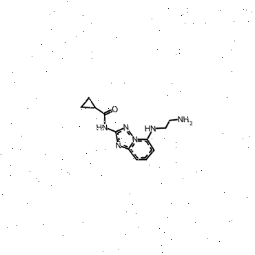 NCCNc1cccc2nc(NC(=O)C3CC3)nn12